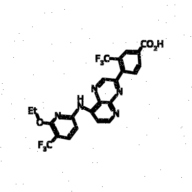 CCOc1nc(Nc2ccnc3nc(-c4ccc(C(=O)O)cc4C(F)(F)F)cnc23)ccc1C(F)(F)F